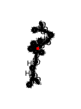 C=CC(=O)OCC(COc1ccccc1)OC(=O)NCc1cccc(CNC(=O)OCCOc2ccc(C3(c4ccc(OCCOC(=O)NCc5cccc(CNC(=O)OC(COC(=O)C=C)COc6ccccc6)c5)c(-c5ccccc5)c4)c4ccccc4-c4ccccc43)cc2-c2ccccc2)c1